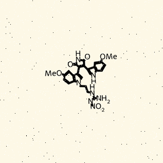 COc1ccc2[nH]cc(C3=C(c4cn(CCCNC(N)=N[N+](=O)[O-])c5ccc(OC)cc45)C(=O)NC3=O)c2c1